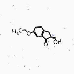 CCOc1ccc2c(c1)C(=O)/C(=C\O)C2